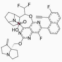 C#Cc1c(F)ccc2cccc(-c3nc4c5c(nc(OC[C@]67CCCN6CCC7=C)nc5c3F)N3CC5CCC(C3C(C(F)F)O4)N5C(=O)O)c12